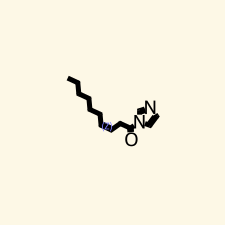 CCCCCC/C=C\CC(=O)n1ccnc1